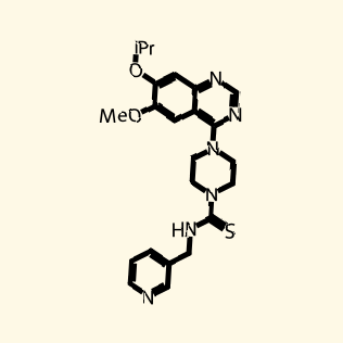 COc1cc2c(N3CCN(C(=S)NCc4cccnc4)CC3)ncnc2cc1OC(C)C